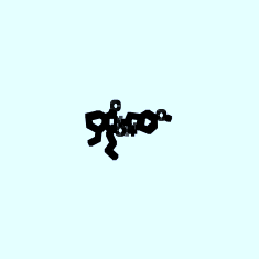 CCCCC1(O)C2=C(C=CCC2CC)C(=O)N1C1=Nc2ccc(OC)cc2C1